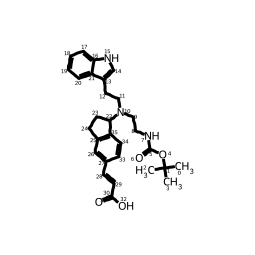 CC(C)(C)OC(=O)NCCN(CCc1c[nH]c2ccccc12)C1CCc2cc(/C=C/C(=O)O)ccc21